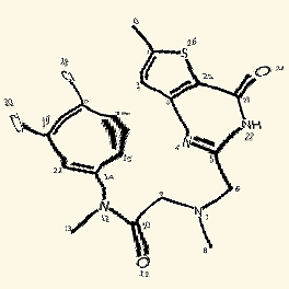 Cc1cc2nc(CN(C)CC(=O)N(C)c3ccc(Cl)c(Cl)c3)[nH]c(=O)c2s1